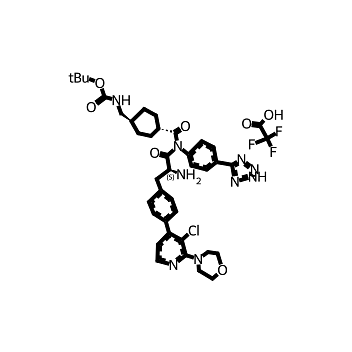 CC(C)(C)OC(=O)NC[C@H]1CC[C@H](C(=O)N(C(=O)[C@@H](N)Cc2ccc(-c3ccnc(N4CCOCC4)c3Cl)cc2)c2ccc(-c3nn[nH]n3)cc2)CC1.O=C(O)C(F)(F)F